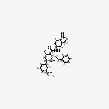 CC1=C(C(=O)Nc2ccc3[nH]ncc3c2)C(CCc2ccccc2)NC(c2cccc(C(F)(F)F)c2)=N1